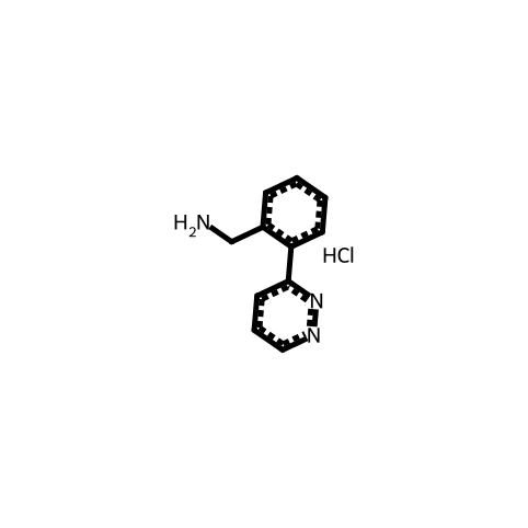 Cl.NCc1ccccc1-c1cccnn1